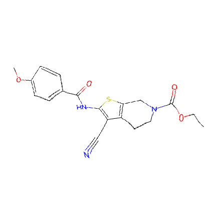 CCOC(=O)N1CCc2c(sc(NC(=O)c3ccc(OC)cc3)c2C#N)C1